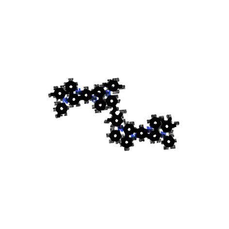 Cc1ccc(N(c2cc(C)ccc2C)c2ccc3c4cc5c(cc4n4c6ccccc6c2c34)c2ccc(N(c3ccc(CCc4c(C)cc(N(c6ccccc6)c6ccc7c8cc9c(cc8n8c%10ccccc%10c6c78)c6ccc(N(c7ccccc7)c7cc(C)c(C)c(C)c7)c7c8ccccc8n9c67)cc4C)cc3)c3cc(C)ccc3C)c3c4ccccc4n5c23)cc1